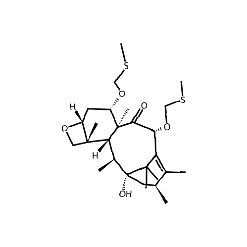 CSCO[C@H]1C(=O)[C@]2(C)[C@@H](OCSC)C[C@H]3OC[C@@]3(C)[C@H]2[C@H](C)[C@]2(O)C[C@H](C)C(C)=C1C2(C)C